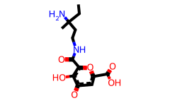 CCC(C)(N)CCNC(=O)c1oc(C(=O)O)cc(=O)c1O